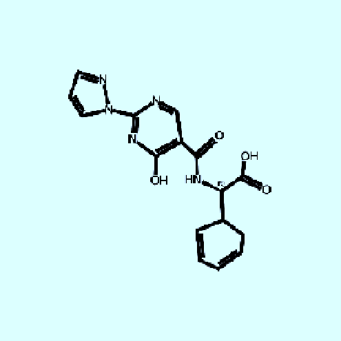 O=C(N[C@@H](C(=O)O)C1C=CC=CC1)c1cnc(-n2cccn2)nc1O